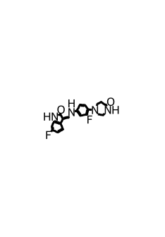 O=C1CCN(c2ccc(NC=C3C(=O)Nc4cc(F)ccc43)cc2F)CCN1